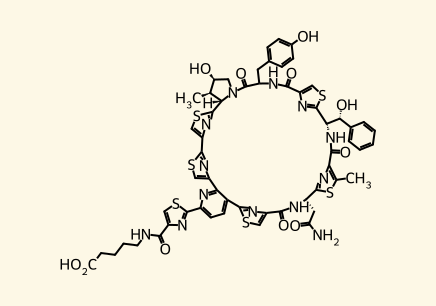 Cc1sc2nc1C(=O)N[C@@H]([C@H](O)c1ccccc1)c1nc(cs1)C(=O)NC(Cc1ccc(O)cc1)C(=O)N1C[C@H](O)[C@H](C)[C@H]1c1nc(cs1)-c1nc(cs1)-c1nc(-c3nc(C(=O)NCCCCC(=O)O)cs3)ccc1-c1nc(cs1)C(=O)N[C@H]2CC(N)=O